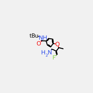 CC(Oc1ccc(C(=O)NC(C)(C)C)cc1)C(=CF)CN